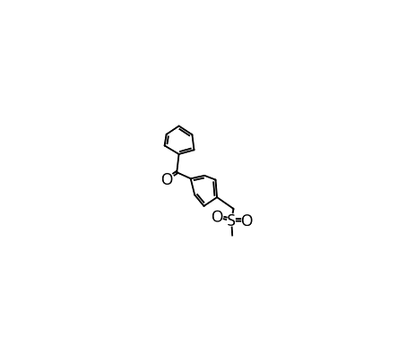 CS(=O)(=O)Cc1ccc(C(=O)c2ccccc2)cc1